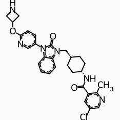 Cc1ncc(Cl)cc1C(=O)N[C@H]1CC[C@H](Cn2c(=O)n(-c3ccc(OC4CNC4)nc3)c3ccccc32)CC1